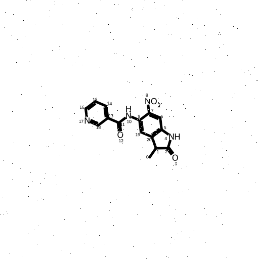 CC1C(=O)Nc2cc([N+](=O)[O-])c(NC(=O)c3cccnc3)cc21